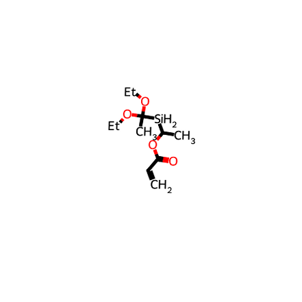 C=CC(=O)OC(C)[SiH2]C(C)(OCC)OCC